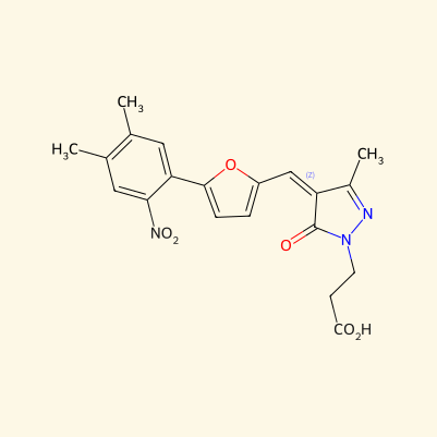 CC1=NN(CCC(=O)O)C(=O)/C1=C\c1ccc(-c2cc(C)c(C)cc2[N+](=O)[O-])o1